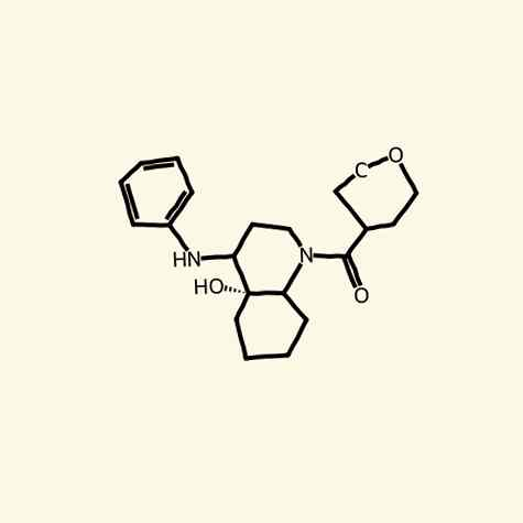 O=C(C1CCOCC1)N1CCC(Nc2ccccc2)[C@]2(O)CCCCC12